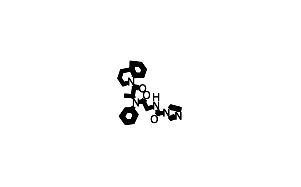 CC(C(=O)N1CCCc2ccccc21)N(C(=O)CNC(=O)n1ccnc1)c1ccccc1